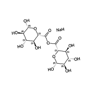 O=C(OC(=O)[C@H]1O[C@@H](O)[C@H](O)[C@@H](O)[C@@H]1O)[C@H]1O[C@@H](O)[C@H](O)[C@@H](O)[C@@H]1O.[NaH]